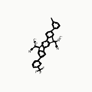 [C-]#[N+]/C(C#N)=C1/c2cc(-c3cccc(C(F)(F)F)c3)ccc2-c2cc3c(cc21)-c1ccc(-c2cccc(C)c2)cc1/C3=C(/C#N)[N+]#[C-]